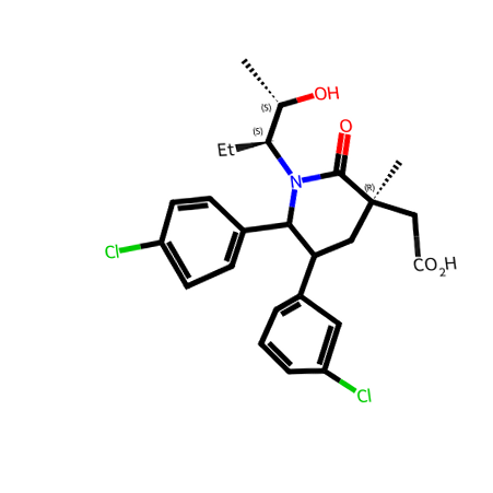 CC[C@@H]([C@H](C)O)N1C(=O)[C@@](C)(CC(=O)O)CC(c2cccc(Cl)c2)C1c1ccc(Cl)cc1